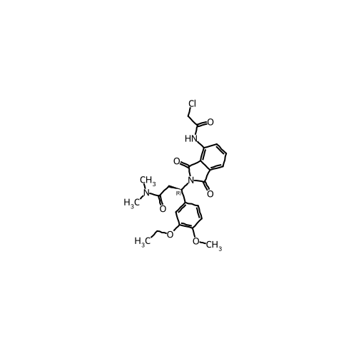 CCOc1cc([C@@H](CC(=O)N(C)C)N2C(=O)c3cccc(NC(=O)CCl)c3C2=O)ccc1OC